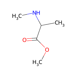 CNC(C)C(=O)OC